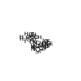 CC(C)[Si](OC[C@@H](C)n1nnc2ccc3cnc(OS(=O)(=O)C(F)(F)F)nc3c21)(C(C)C)C(C)C